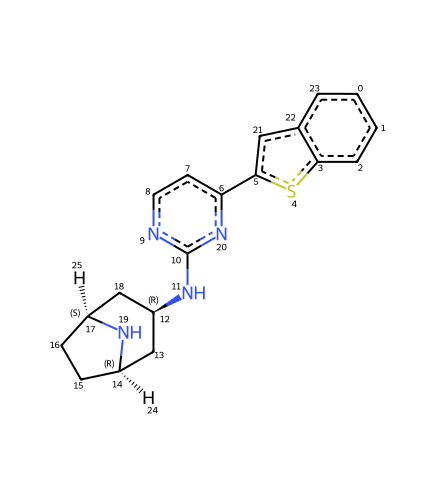 c1ccc2sc(-c3ccnc(N[C@H]4C[C@H]5CC[C@@H](C4)N5)n3)cc2c1